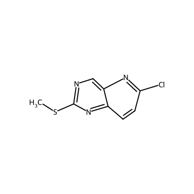 CSc1ncc2nc(Cl)ccc2n1